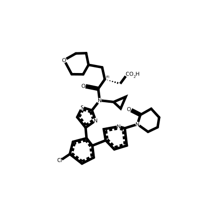 O=C(O)C[C@@H](CC1CCOCC1)C(=O)N(c1nc(-c2cc(Cl)ccc2-c2ccc(N3CCCCC3=O)nc2)cs1)C1CC1